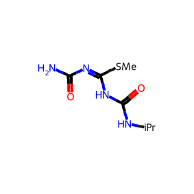 CSC(=NC(N)=O)NC(=O)NC(C)C